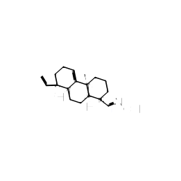 C=C[C@@]1(C)CCC=C2[C@H]1CC[C@H]1[C@@]2(C)CCC[C@@]1(C)/C=N/O